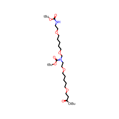 CC(C)COC(=O)CCOCCCCCOCCN(COCCCCCOCCNC(=O)OC(C)(C)C)C(=O)OC(C)(C)C